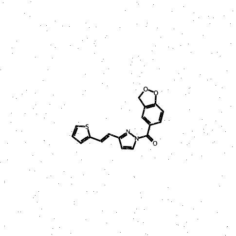 O=C(c1ccc2c(c1)COO2)n1ccc(/C=C/c2cccs2)n1